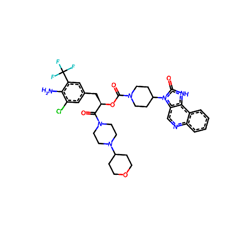 Nc1c(Cl)cc(C[C@@H](OC(=O)N2CCC(n3c(=O)[nH]c4c5ccccc5ncc43)CC2)C(=O)N2CCN(C3CCOCC3)CC2)cc1C(F)(F)F